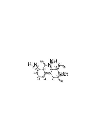 C=C1CCC(N(N)C(=C)c2ccccc2N)/C(=C/C)N1CC